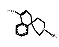 CCOC(=O)C1=CCC2(CCN(C)CC2)c2ccccc21